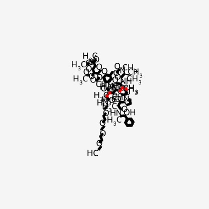 C#CCOCCOCCOCCOCCNC(=O)CCC(=O)Nc1ccc(O[C@@H]2OC(C(=O)OC)[C@@H](OC(C)=O)C(OC(C)=O)C2OC(C)=O)c(COC(=O)N(C)[C@H](C(=O)N[C@H](C(=O)N(C)[C@@H]([C@@H](C)CC)[C@@H](CC(=O)N2CCC[C@H]2[C@H](OC)[C@@H](C)C(=O)N[C@H](C)[C@@H](O)c2ccccc2)OC)C(C)C)C(C)C)c1